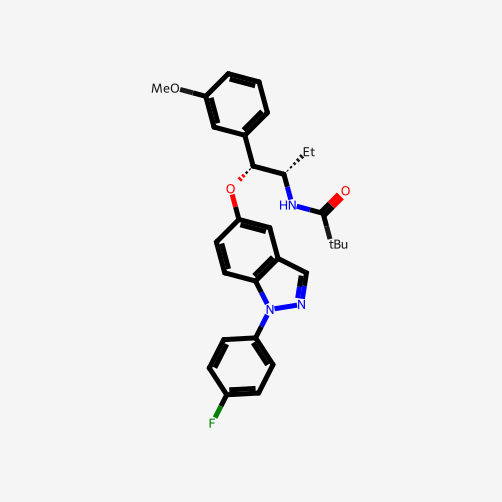 CC[C@H](NC(=O)C(C)(C)C)[C@H](Oc1ccc2c(cnn2-c2ccc(F)cc2)c1)c1cccc(OC)c1